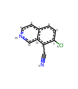 N#Cc1c(Cl)ccc2ccncc12